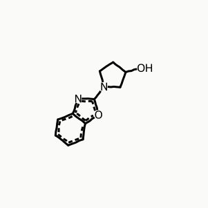 OC1CCN(c2nc3ccccc3o2)C1